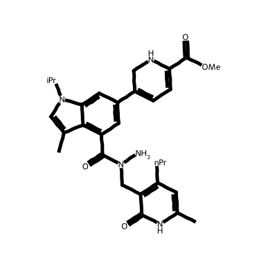 CCCc1cc(C)[nH]c(=O)c1CN(N)C(=O)c1cc(C2=CC=C(C(=O)OC)NC2)cc2c1c(C)cn2C(C)C